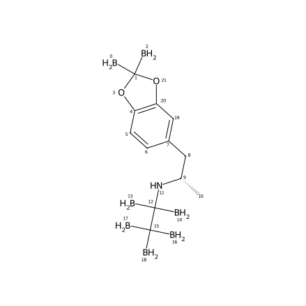 BC1(B)Oc2ccc(C[C@H](C)NC(B)(B)C(B)(B)B)cc2O1